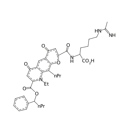 CCCc1c2oc(C(=O)NC(CCCCNC(C)=N)C(=O)O)cc(=O)c2cc2c(=O)cc(C(=O)OC(CCC)c3ccccc3)n(CC)c12